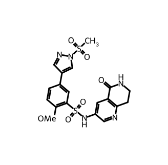 COc1ccc(-c2cnn(S(C)(=O)=O)c2)cc1S(=O)(=O)Nc1cnc2c(c1)C(=O)NCC2